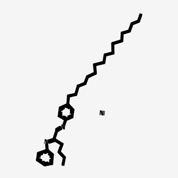 CCCCCCCCCCCCCCCCCc1ccc(/N=C/C(CCCC)=N/c2ccccc2)cc1.[Ni]